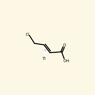 O=C(O)/C=C/CCl.[Tl]